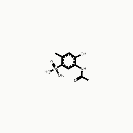 CC(=O)Nc1cc([As](=O)(O)O)c(C)cc1O